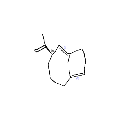 C=C(C)[C@H]1/C=C(\C)CC/C=C(\C)CCC1